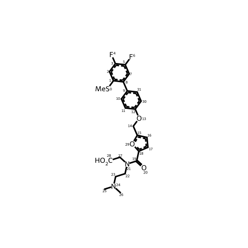 CSc1cc(F)c(F)cc1-c1ccc(OCc2ccc(C(=O)N(CCN(C)C)CC(=O)O)o2)cc1